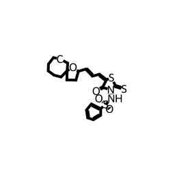 O=C1/C(=C\C=C\C2CCC3(CCCCCCC3)O2)SC(=S)N1NS(=O)(=O)c1ccccc1